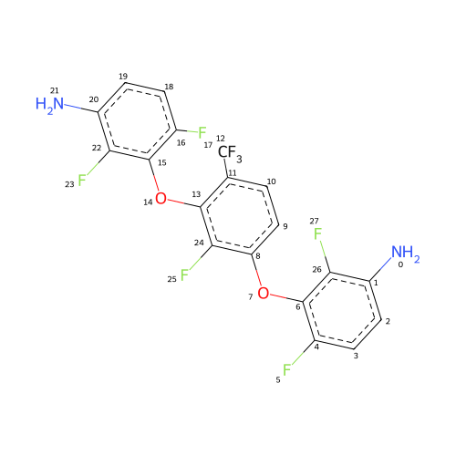 Nc1ccc(F)c(Oc2ccc(C(F)(F)F)c(Oc3c(F)ccc(N)c3F)c2F)c1F